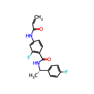 C=CC(=O)Nc1ccc(C(=O)N[C@@H](C)c2ccc(F)cc2)c(F)c1